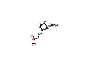 C=CC(=O)CCCc1cccc(OC)c1